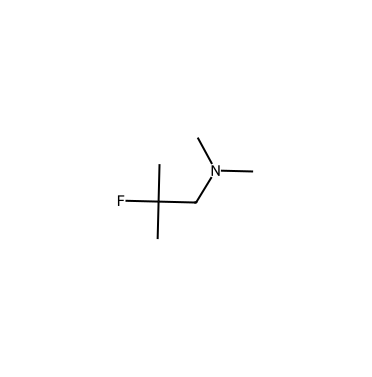 CN(C)CC(C)(C)F